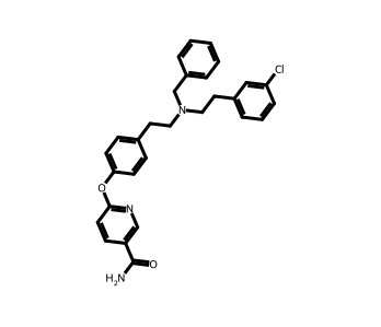 NC(=O)c1ccc(Oc2ccc(CCN(CCc3cccc(Cl)c3)Cc3ccccc3)cc2)nc1